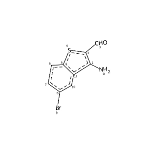 Nc1c(C=O)sc2ccc(Br)cc12